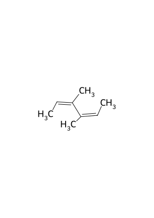 C/C=C(C)\C(C)=C/C